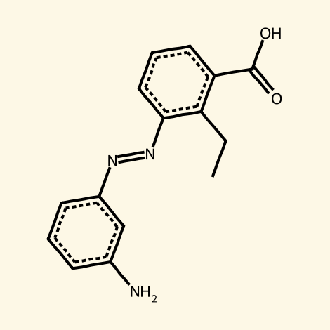 CCc1c(N=Nc2cccc(N)c2)cccc1C(=O)O